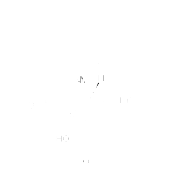 COc1ccc2c(c1O)[C@]13CCN(C)[C@H](C2)[C@]1(OCc1ccc2ccccc2c1)CCC(=O)C3.Cl